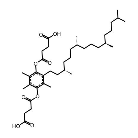 Cc1c(C)c(OC(=O)CCC(=O)O)c(CC[C@@H](C)CCC[C@H](C)CCC[C@H](C)CCCC(C)C)c(C)c1OC(=O)CCC(=O)O